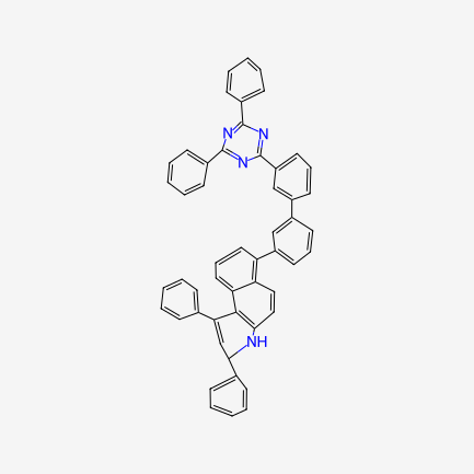 C1=C(c2ccccc2)c2c(ccc3c(-c4cccc(-c5cccc(-c6nc(-c7ccccc7)nc(-c7ccccc7)n6)c5)c4)cccc23)NC1c1ccccc1